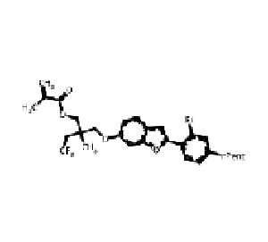 C=C(C)C(=O)OCC(C)(COc1ccc2cc(-c3ccc(CCCCC)cc3CC)oc2c1)CC(F)(F)F